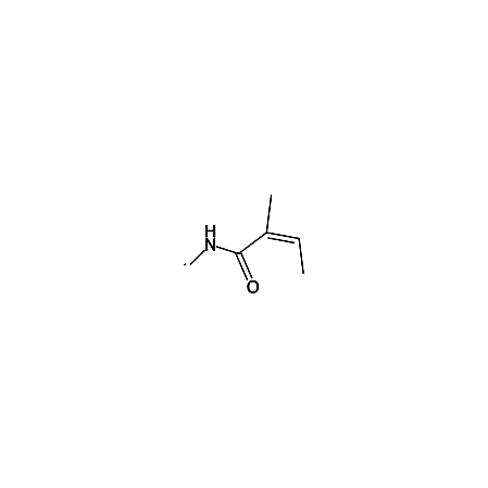 [CH2]NC(=O)/C(C)=C\C